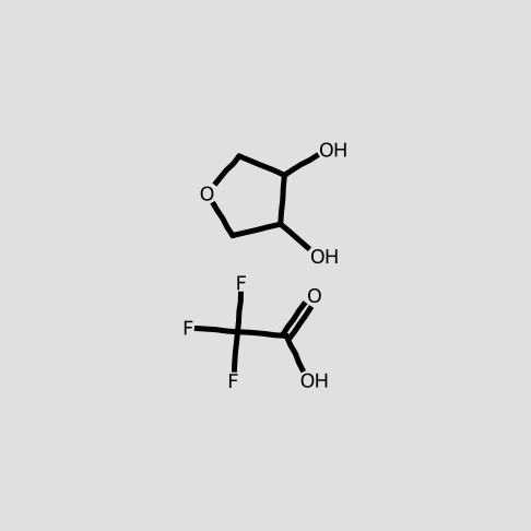 O=C(O)C(F)(F)F.OC1COCC1O